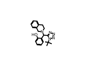 CC(C)(C)n1nnnc1C(c1ccccc1O)N1CCc2ccccc2C1